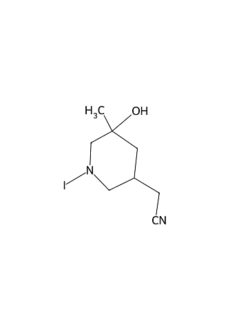 CC1(O)CC(CC#N)CN(I)C1